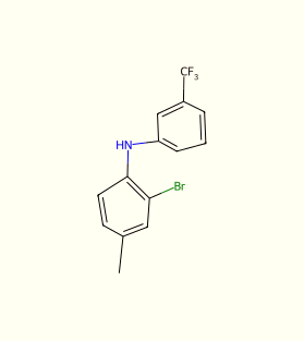 Cc1ccc(Nc2cccc(C(F)(F)F)c2)c(Br)c1